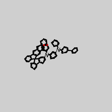 c1ccc(-c2ccc(N(c3ccccc3)c3cccc(N(c4ccccc4)c4ccc5c(c4)C4(c6ccccc6-5)c5ccccc5-c5cc6cc7ccccc7cc6cc54)c3)cc2)cc1